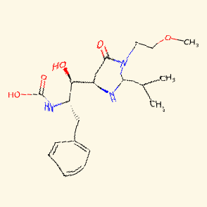 COCCN1C(=O)[C@H]([C@H](O)[C@H](Cc2ccccc2)NC(=O)O)NC1C(C)C